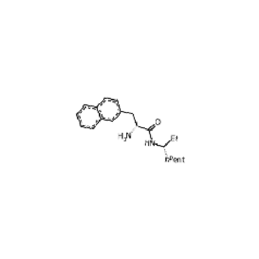 CCCCC[C@@H](CC)NC(=O)[C@H](N)Cc1ccc2ccccc2c1